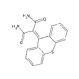 NC(=O)C(C(N)=O)=C1c2ccccc2Sc2ccccc21